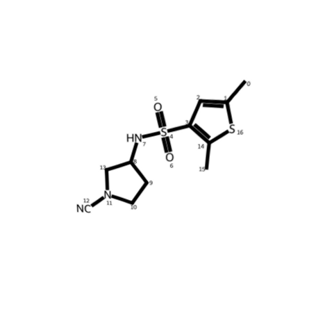 Cc1cc(S(=O)(=O)NC2CCN(C#N)C2)c(C)s1